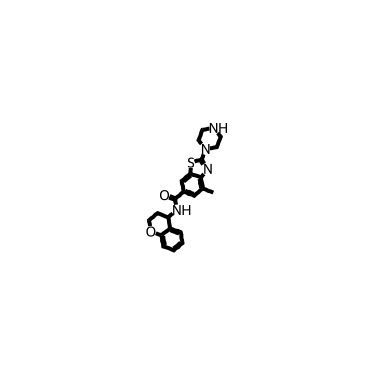 Cc1cc(C(=O)NC2CCOc3ccccc32)cc2sc(N3CCNCC3)nc12